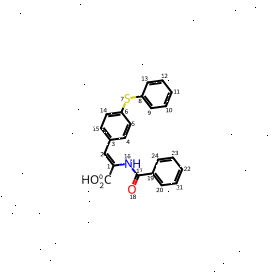 O=C(O)/C(=C/c1ccc(Sc2ccccc2)cc1)NC(=O)c1ccccc1